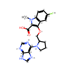 Cn1c(C(=O)O)c(OCC2CCCN2c2ncnc3[nH]cnc23)c2cc(F)ccc21